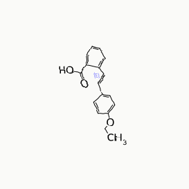 CCOc1ccc(/C=C/c2ccccc2C(=O)O)cc1